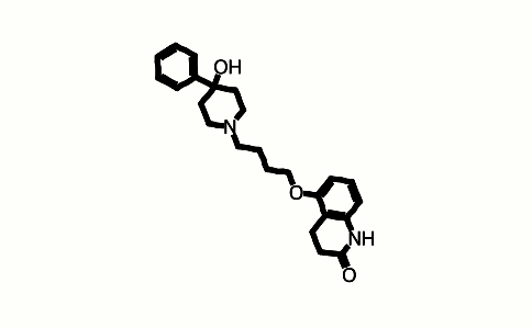 O=C1CCc2c(cccc2OCCCCN2CCC(O)(c3ccccc3)CC2)N1